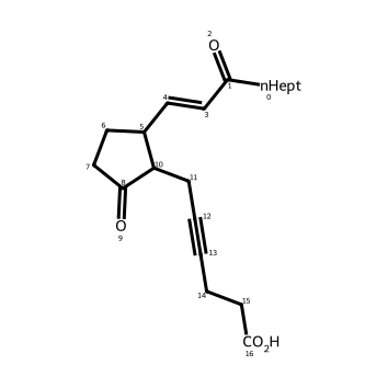 CCCCCCCC(=O)C=CC1CCC(=O)C1CC#CCCC(=O)O